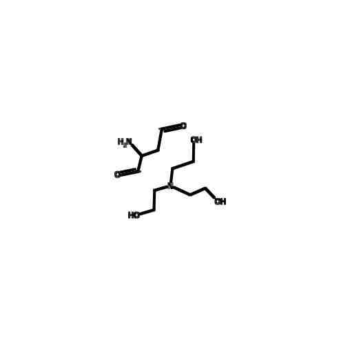 NC([C]=O)C[C]=O.OCCN(CCO)CCO